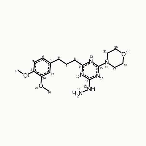 COc1ccc(CCCc2nc(NN)nc(N3CCOCC3)n2)cc1OC